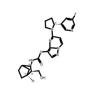 O=C(N[C@@H]1C2CC[C@@H](C2)[C@@H]1CO)Oc1cnn2ccc(N3CCC[C@@H]3c3cncc(F)c3)nc12